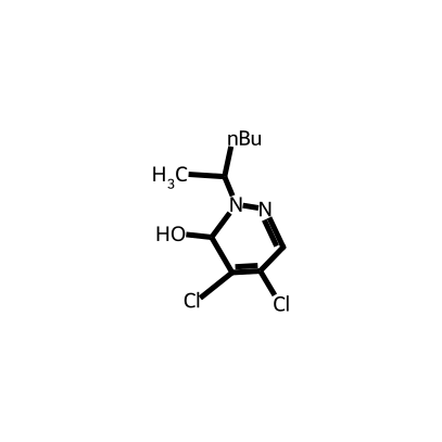 CCCCC(C)N1N=CC(Cl)=C(Cl)C1O